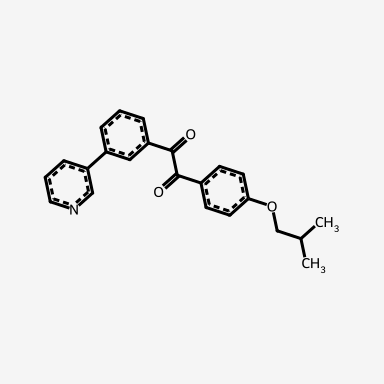 CC(C)COc1ccc(C(=O)C(=O)c2cccc(-c3cccnc3)c2)cc1